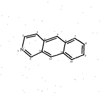 [c]1nccc2cc3ccccc3cc12